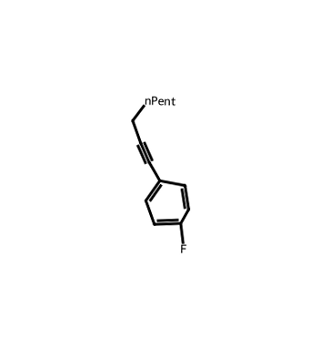 CCCCCCC#Cc1ccc(F)cc1